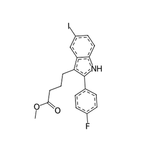 COC(=O)CCCc1c(-c2ccc(F)cc2)[nH]c2ccc(I)cc12